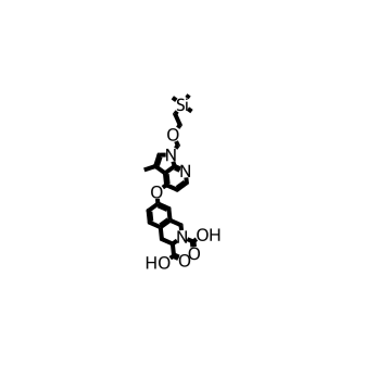 Cc1cn(COCC[Si](C)(C)C)c2nccc(Oc3ccc4c(c3)CN(C(=O)O)C(C(=O)O)C4)c12